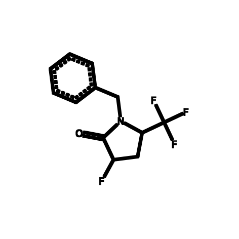 O=C1C(F)CC(C(F)(F)F)N1Cc1ccccc1